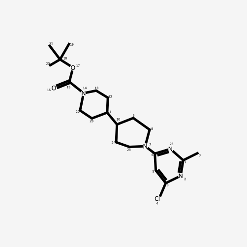 Cc1nc(Cl)cc(N2CCC(C3CCN(C(=O)OC(C)(C)C)CC3)CC2)n1